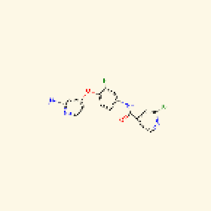 Nc1cc(Oc2ccc(NC(=O)c3ccnc(Br)c3)cc2F)ccn1